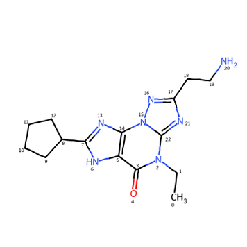 CCn1c(=O)c2[nH]c(C3CCCC3)nc2n2nc(CCN)nc12